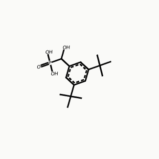 CC(C)(C)c1cc(C(O)P(=O)(O)O)cc(C(C)(C)C)c1